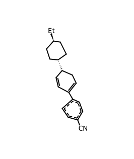 CC[C@H]1CC[C@H](C2C=CC(c3ccc(C#N)cc3)=CC2)CC1